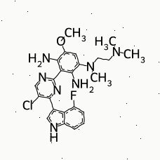 COc1cc(N(C)CCN(C)C)c(N)c(-c2ncc(Cl)c(-c3c[nH]c4cccc(F)c34)n2)c1N